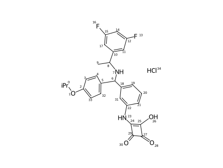 CC(C)Oc1ccc(C(NC(C)c2cc(F)cc(F)c2)c2cccc(Nc3c(O)c(=O)c3=O)c2)cc1.Cl